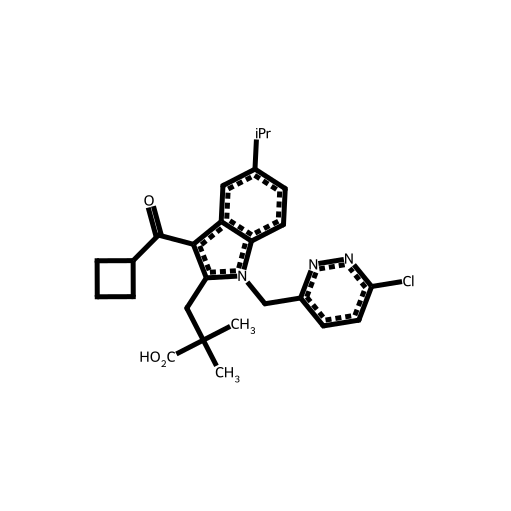 CC(C)c1ccc2c(c1)c(C(=O)C1CCC1)c(CC(C)(C)C(=O)O)n2Cc1ccc(Cl)nn1